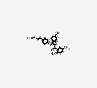 Cc1ccc(C)c(C(=O)c2sc3cc(O)ccc3c2Oc2ccc(/C=C/OC=O)cc2)c1